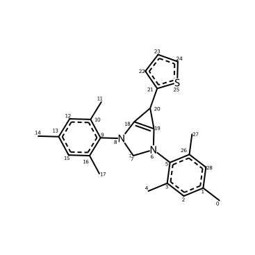 Cc1cc(C)c(N2[C]N(c3c(C)cc(C)cc3C)C3=C2C3c2cccs2)c(C)c1